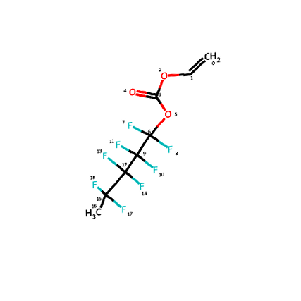 C=COC(=O)OC(F)(F)C(F)(F)C(F)(F)C(C)(F)F